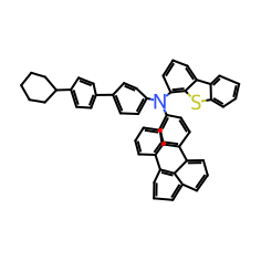 c1ccc(-c2cccc3cccc(-c4ccc(N(c5ccc(-c6ccc(C7CCCCC7)cc6)cc5)c5cccc6c5sc5ccccc56)cc4)c23)cc1